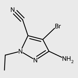 CCn1nc(N)c(Br)c1C#N